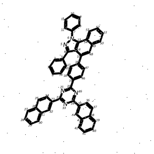 c1ccc(-c2nn(-c3ccccc3)c3c2c(-c2ccc(-c4nc(-c5ccc6ccccc6c5)nc(-c5ccc6ccccc6c5)n4)cc2)cc2ccccc23)cc1